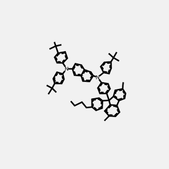 CCCCc1ccc(C2(c3ccc(N(c4ccc(C(C)(C)C)cc4)c4ccc5cc(N(c6ccc(C(C)(C)C)cc6)c6ccc(C(C)(C)C)cc6)ccc5c4)cc3)c3cc(C)ccc3-c3ccc(C)cc32)cc1